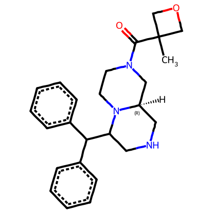 CC1(C(=O)N2CCN3C(C(c4ccccc4)c4ccccc4)CNC[C@@H]3C2)COC1